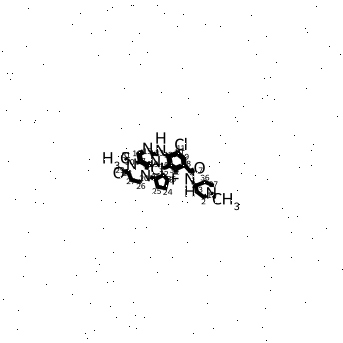 CN1CCC(NC(=O)c2cc(Cl)c(Nc3ncc4c(n3)N(C3CCCC3)CCC(=O)N4C)c(Cl)c2F)CC1